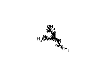 CCCC(C=O)CCC(=O)OCC(COC(=O)CCC(C=O)CCC)OC(=O)CCCC(C=O)CC